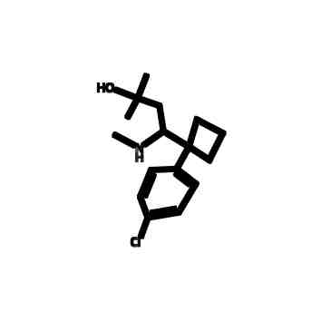 CNC(CC(C)(C)O)C1(c2ccc(Cl)cc2)CCC1